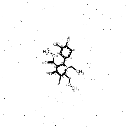 CCn1c(COC)c(I)c(=O)c(C(=O)OC)c1-c1ccc(Cl)c(Cl)c1